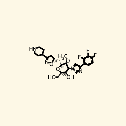 CO[C@@H]1[C@@H](n2cc(-c3ccc(F)c(F)c3F)nn2)[C@@H](O)[C@@H](CO)O[C@@H]1C[C@H]1CC(C2CCNCC2)=NO1